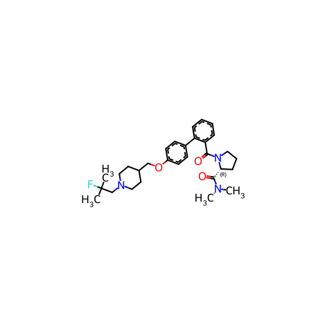 CN(C)C(=O)[C@H]1CCCN1C(=O)c1ccccc1-c1ccc(OCC2CCN(CC(C)(C)F)CC2)cc1